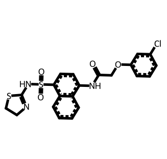 O=C(COc1cccc(Cl)c1)Nc1ccc(S(=O)(=O)NC2=NCCS2)c2ccccc12